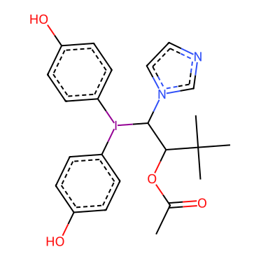 CC(=O)OC(C(n1ccnc1)I(c1ccc(O)cc1)c1ccc(O)cc1)C(C)(C)C